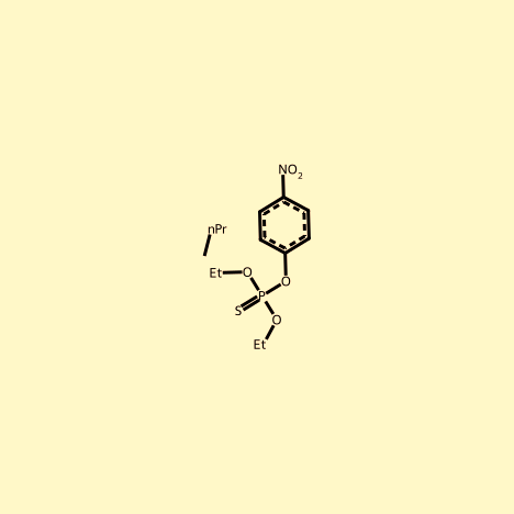 CCCC.CCOP(=S)(OCC)Oc1ccc([N+](=O)[O-])cc1